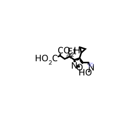 CC[C@H](CC(C(=O)O)C(=O)O)c1noc(/C=N\O)c1C1CC1